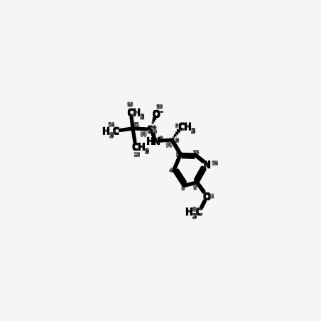 COc1ccc([C@@H](C)N[S@@+]([O-])C(C)(C)C)cn1